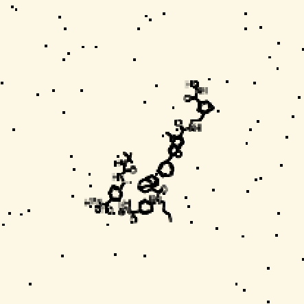 CCCC[16N](C(=O)C12CC3CC(CC(C3)C1)C2)c1ccc(C(=O)NO)cc1.C[C@@H](NC(=O)NC(C)(C)C)c1ccc(C(=O)[15NH]O)cc1.Cn1c(C(=O)NCCc2cccc(C(=O)NO)c2)cc2oc(-c3ccccc3)cc21